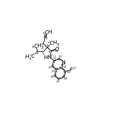 C#CCC(C)(CC(C)C)C(=O)Nc1cnc2c(F)cccc2c1